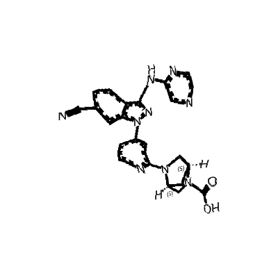 N#Cc1ccc2c(Nc3cnccn3)nn(-c3ccnc(N4C[C@@H]5C[C@H]4CN5C(=O)O)c3)c2c1